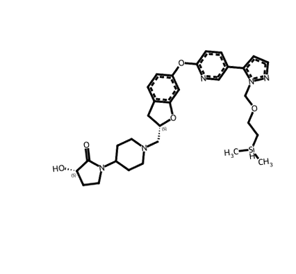 C[SiH](C)CCOCn1nccc1-c1ccc(Oc2ccc3c(c2)O[C@H](CN2CCC(N4CC[C@H](O)C4=O)CC2)C3)nc1